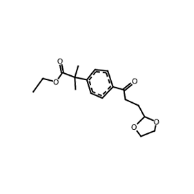 CCOC(=O)C(C)(C)c1ccc(C(=O)CCC2OCCO2)cc1